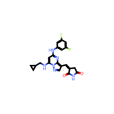 O=C1CC(=Cc2cnn3c(NCC4CC4)cc(Nc4cc(F)cc(F)c4)nc23)C(=O)N1